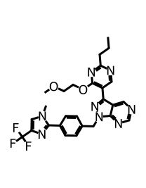 CCCc1ncc(-c2nn(Cc3ccc(-c4nc(C(F)(F)F)cn4C)cc3)c3ncncc23)c(OCCOC)n1